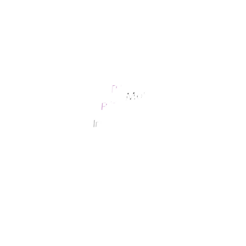 [Ir].[Mo+6].[P-3].[P-3]